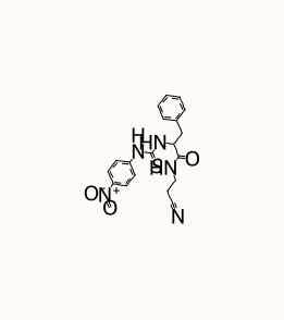 N#CCCNC(=O)C(Cc1ccccc1)NC(=S)Nc1ccc([N+](=O)[O-])cc1